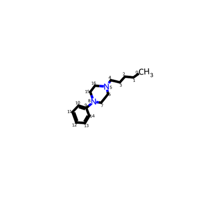 CCCCCN1CCN(c2ccccc2)CC1